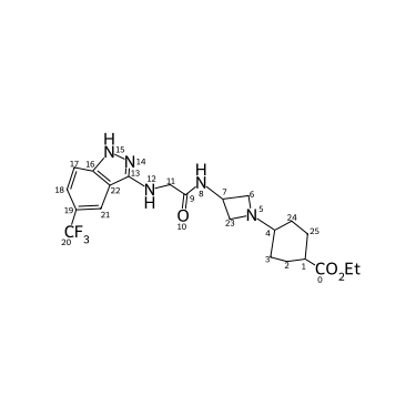 CCOC(=O)C1CCC(N2CC(NC(=O)CNc3n[nH]c4ccc(C(F)(F)F)cc34)C2)CC1